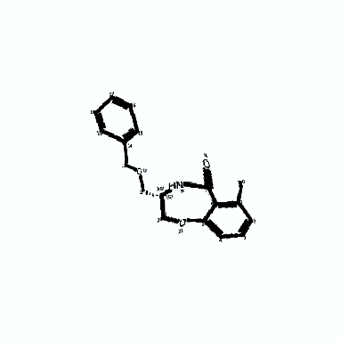 Cc1cccc2c1C(=O)N[C@@H](COCc1ccccc1)CO2